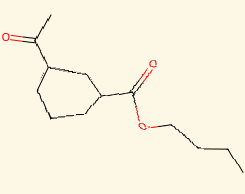 CCCCOC(=O)C1CCCC(C(C)=O)C1